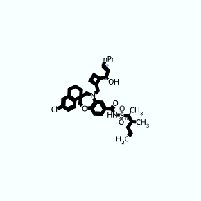 C=CCC(C)[C@@H](C)S(=O)(=O)NC(=O)c1ccc2c(c1)N(CC1CCC1[C@H](O)/C=C/CCC)CC1(CCCc3cc(Cl)ccc31)CO2